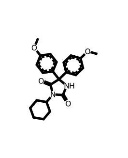 COc1ccc(C2(c3ccc(OC)cc3)NC(=O)N(C3CCCCC3)C2=O)cc1